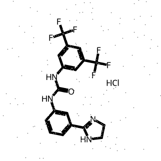 Cl.O=C(Nc1cccc(C2=NCCN2)c1)Nc1cc(C(F)(F)F)cc(C(F)(F)F)c1